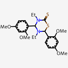 CCN1C(=S)SC(c2ccc(OC)cc2OC)N(CC)C1c1ccc(OC)cc1OC